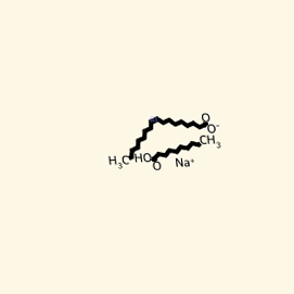 CCCCCCCC/C=C\CCCCCCCC(=O)[O-].CCCCCCCCCC(=O)O.[Na+]